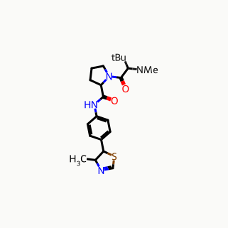 CNC(C(=O)N1CCCC1C(=O)Nc1ccc(C2SC=NC2C)cc1)C(C)(C)C